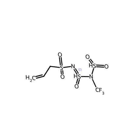 C=CCS(=O)(=O)/N=[SH](=O)/N([SH](=O)=O)C(F)(F)F